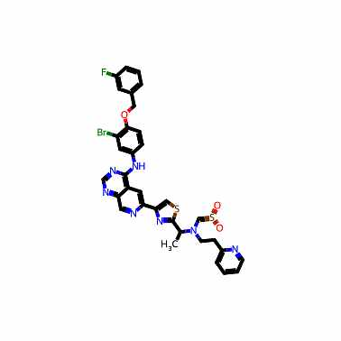 CC(c1nc(-c2cc3c(Nc4ccc(OCc5cccc(F)c5)c(Br)c4)ncnc3cn2)cs1)N(C=S(=O)=O)CCc1ccccn1